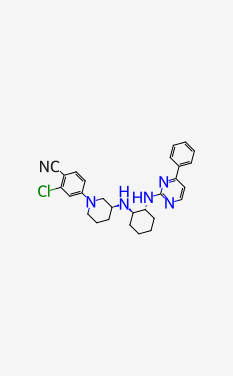 N#Cc1ccc(N2CCC[C@H](N[C@@H]3CCCC[C@H]3Nc3nccc(-c4ccccc4)n3)C2)cc1Cl